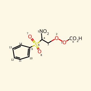 O=C(O)OOCC([N+](=O)[O-])S(=O)(=O)c1ccccc1